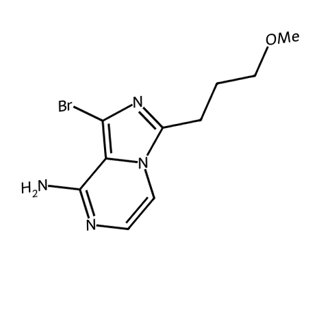 COCCCc1nc(Br)c2c(N)nccn12